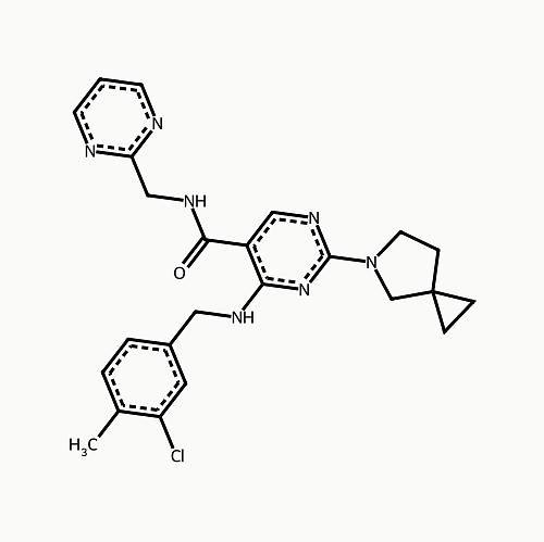 Cc1ccc(CNc2nc(N3CCC4(CC4)C3)ncc2C(=O)NCc2ncccn2)cc1Cl